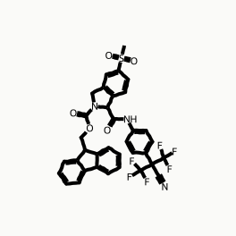 CS(=O)(=O)c1ccc2c(c1)CN(C(=O)OCC1c3ccccc3-c3ccccc31)C2C(=O)Nc1ccc(C(C#N)(C(F)(F)F)C(F)(F)F)cc1